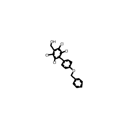 OCc1c(Cl)c(Cl)c(-c2ccc(OCc3ccccc3)cc2)c(Cl)c1Cl